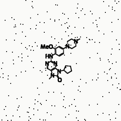 COc1cc(N2CCN(C)CC2)ccc1Nc1ncc2c(n1)n(C1CCCC1)c(=O)n2C